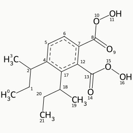 CCC(C)c1ccc(C(=O)OO)c(C(=O)OO)c1C(C)CC